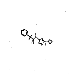 CC(C)(C(=O)Nc1cc(C2C[CH]C2)[nH]n1)c1ccccc1